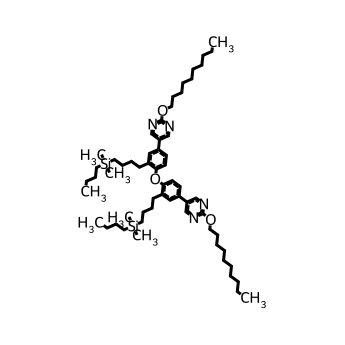 CCCCCCCCCCOc1ncc(-c2ccc(Oc3ccc(-c4cnc(OCCCCCCCCCC)nc4)cc3CCCC[Si](C)(C)CCCC)c(CCCC[Si](C)(C)CCCC)c2)cn1